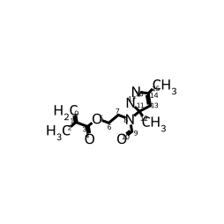 C=C(C)C(=O)OCCN(C=O)C1(C)C=C(C)N=N1